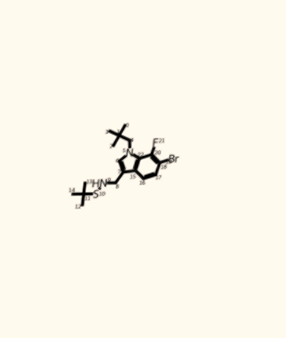 CC(C)(C)Cn1cc(CNSC(C)(C)C)c2ccc(Br)c(F)c21